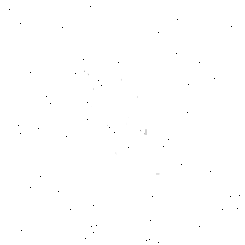 C[C@H](Nc1ccc(N)cc1)C(=O)O